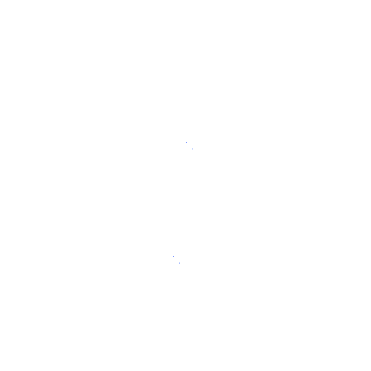 CCOc1cccc(CCN(CCC(=O)O)C(=O)c2ccccc2-c2ccccc2C(=O)NCc2cccc3ccccc23)c1